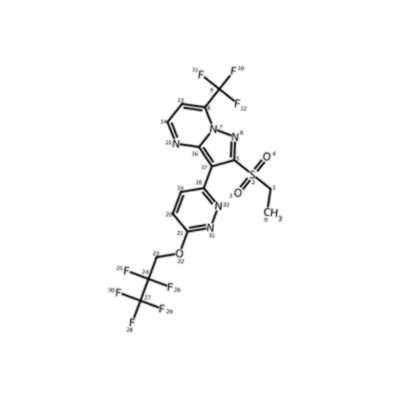 CCS(=O)(=O)c1nn2c(C(F)(F)F)ccnc2c1-c1ccc(OCC(F)(F)C(F)(F)F)nn1